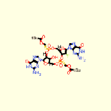 CC(C)(C)C(=O)OCSP1(=O)OC[C@H]2O[C@@H](n3cnc4c(=O)[nH]c(N)nc43)[C@@H](OP(=O)(SCOC(=O)C(C)(C)C)OC[C@H]3O[C@@H](n4cnc5c(=O)[nH]c(N)nc54)[C@@H](F)C3O1)C2O